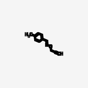 C#CCON=[C]c1ccc(C)cc1